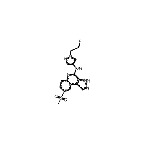 CS(=O)(=O)c1ccc2nc(Nc3cnn(CCF)c3)c3[nH]ncc3c2c1